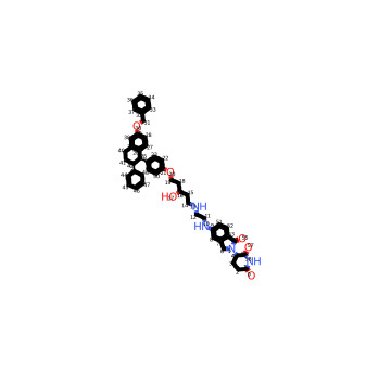 O=C1CCC(N2Cc3cc(NCCNCCC(O)CCOc4ccc([C@@H]5c6ccc(OCc7ccccc7)cc6CC[C@@H]5C5C=CC=CC5)cc4)ccc3C2=O)C(=O)N1